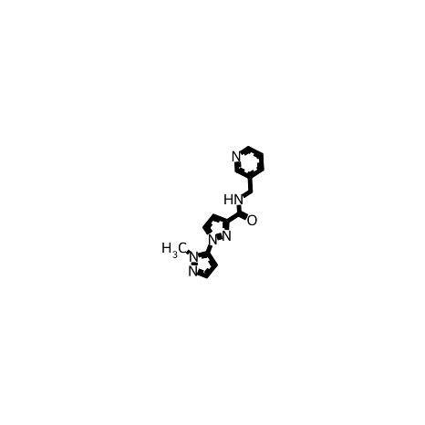 Cn1nccc1-n1ccc(C(=O)NCc2cccnc2)n1